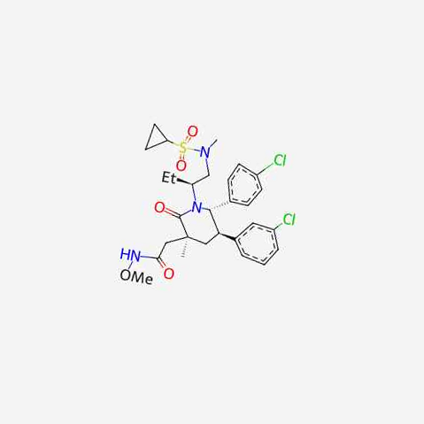 CC[C@@H](CN(C)S(=O)(=O)C1CC1)N1C(=O)[C@](C)(CC(=O)NOC)C[C@H](c2cccc(Cl)c2)[C@H]1c1ccc(Cl)cc1